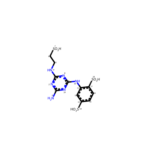 Nc1nc(NCCS(=O)(=O)O)nc(Nc2cc(S(=O)(=O)O)ccc2S(=O)(=O)O)n1